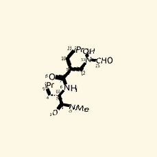 CNC(=O)[C@H](CC(C)C)NC(=O)C(CC(C)C)CN(O)C=O